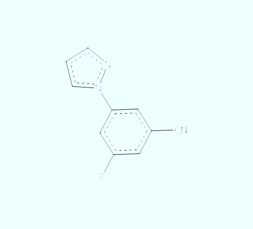 N#Cc1cc(F)cc(-n2cccn2)c1